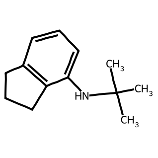 CC(C)(C)Nc1cccc2c1CCC2